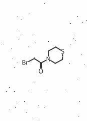 O=C(CBr)N1CCSCC1